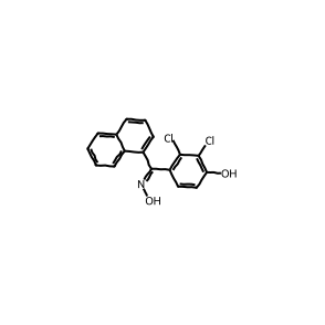 ON=C(c1ccc(O)c(Cl)c1Cl)c1cccc2ccccc12